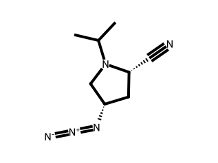 CC(C)N1C[C@@H](N=[N+]=[N-])C[C@H]1C#N